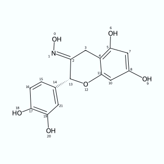 O/N=C1\Cc2c(O)cc(O)cc2O[C@@H]1c1ccc(O)c(O)c1